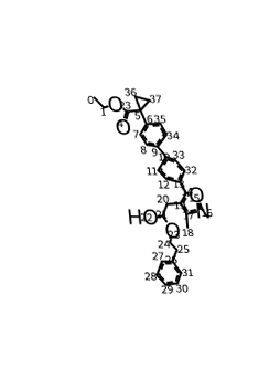 CCOC(=O)C1(c2ccc(-c3ccc(-c4onc(C)c4CC(O)OCCc4ccccc4)cc3)cc2)CC1